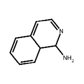 NC1N=CC=C2C=CC=CC21